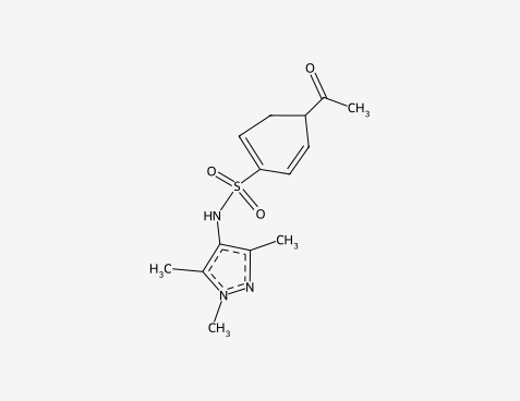 CC(=O)C1C=CC(S(=O)(=O)Nc2c(C)nn(C)c2C)=CC1